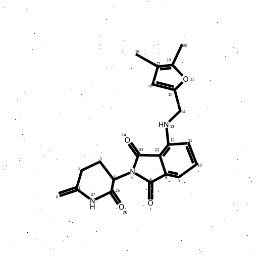 C=C1CCC(N2C(=O)c3cccc(NCc4cc(C)c(C)o4)c3C2=O)C(=O)N1